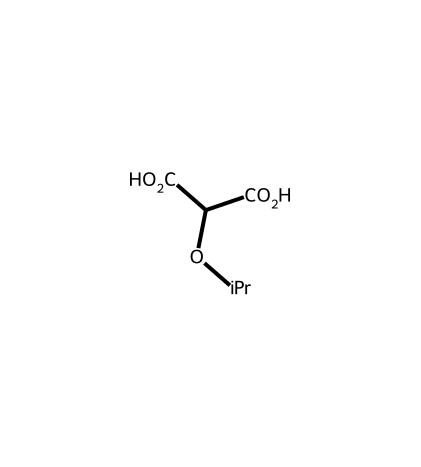 CC(C)OC(C(=O)O)C(=O)O